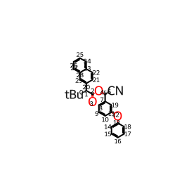 CC(C)(C)C(C(=O)OC(C#N)c1cccc(Oc2ccccc2)c1)c1ccc2ccccc2c1